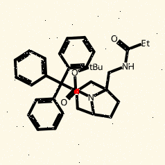 CCC(=O)NCC12CCC(CN(C(c3ccccc3)(c3ccccc3)c3ccccc3)C1)N2C(=O)OC(C)(C)C